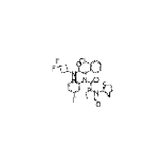 O=C(NC1CC(F)(F)C1)[C@H](c1ccccc1Cl)N(C(=O)[C@@H]1CCC(=O)N1c1nccs1)c1cccc(F)c1